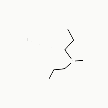 CCCN(C)CCC.[Al+3].[Cl-].[Cl-].[Cl-]